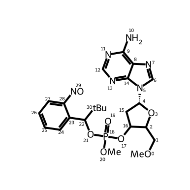 COCC1O[C@@H](n2cnc3c(N)ncnc32)CC1OP(=O)(OC)OC(c1ccccc1N=O)C(C)(C)C